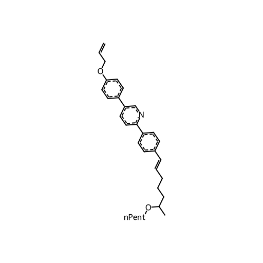 C=CCOc1ccc(-c2ccc(-c3ccc(C=CCCCC(C)OCCCCC)cc3)nc2)cc1